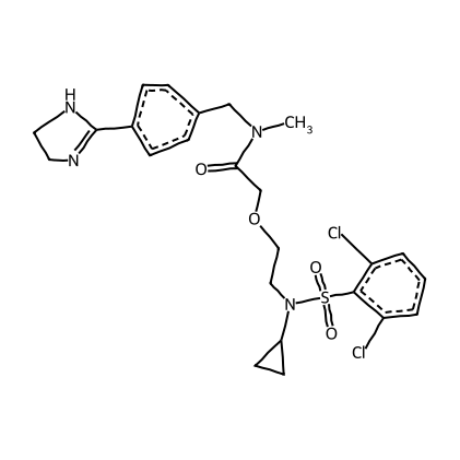 CN(Cc1ccc(C2=NCCN2)cc1)C(=O)COCCN(C1CC1)S(=O)(=O)c1c(Cl)cccc1Cl